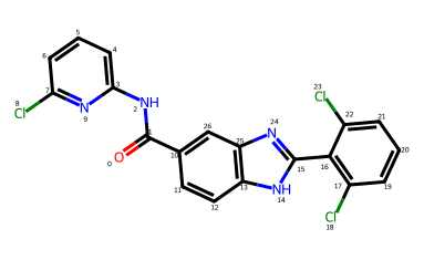 O=C(Nc1cccc(Cl)n1)c1ccc2[nH]c(-c3c(Cl)cccc3Cl)nc2c1